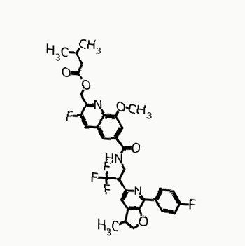 COc1cc(C(=O)NCC(c2cc3c(c(-c4ccc(F)cc4)n2)OCC3C)C(F)(F)F)cc2cc(F)c(COC(=O)CC(C)C)nc12